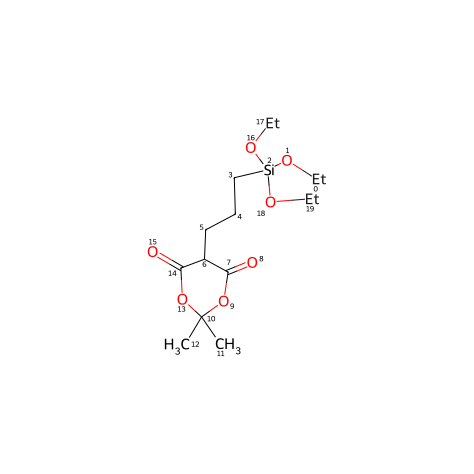 CCO[Si](CCCC1C(=O)OC(C)(C)OC1=O)(OCC)OCC